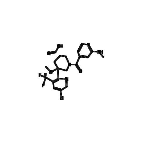 CNc1cc(C(=O)N2CCCC(OC)(c3ncc(Cl)cc3C(F)(F)F)C2)ccn1.O=CO